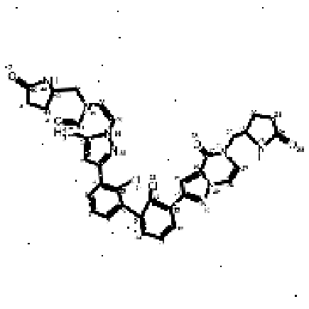 Cc1cc(-c2cccc(-c3cccc(-c4cc5c(=O)n(CC6CCC(=O)N6)ccn5n4)c3Cl)c2Cl)nn1/C=C\N(C=O)CC1CCC(=O)N1